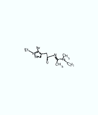 CCn1ncc(CC(=O)/N=C(\C)N(C)C)c1Br